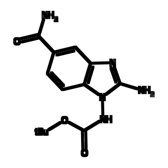 CC(C)(C)OC(=O)Nn1c(N)nc2cc(C(N)=O)ccc21